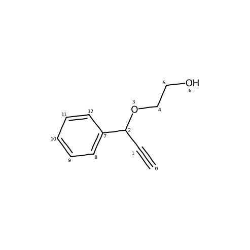 C#CC(OCCO)c1ccccc1